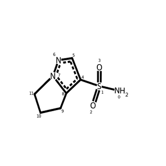 NS(=O)(=O)c1cnn2c1CCC2